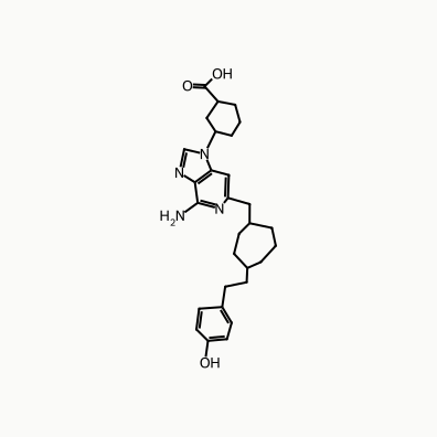 Nc1nc(CC2CCCC(CCc3ccc(O)cc3)CC2)cc2c1ncn2C1CCCC(C(=O)O)C1